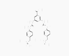 CN(C)Cc1ccc(NC(=O)Nc2cc(NC(=O)Nc3ccc(CN(C)C)cc3)cc(C(=O)O)c2)cc1